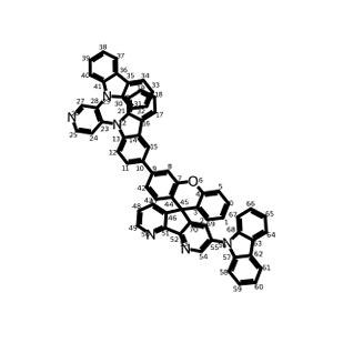 c1ccc2c(c1)Oc1cc(-c3ccc4c(c3)c3ccccc3n4-c3ccncc3-n3c4ccccc4c4ccccc43)ccc1C21c2cccnc2-c2ncc(-n3c4ccccc4c4ccccc43)cc21